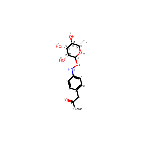 COC(=O)Cc1ccc(NOC2O[C@@H](C)[C@H](O)[C@@H](O)[C@H]2O)cc1